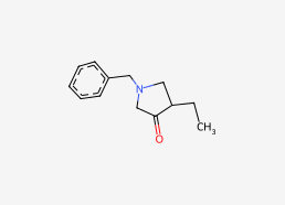 CCC1CN(Cc2ccccc2)CC1=O